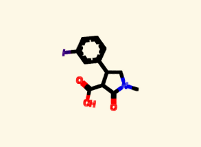 CN1CC(c2cccc(I)c2)C(C(=O)O)C1=O